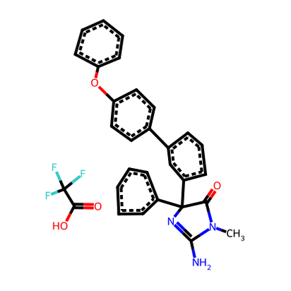 CN1C(=O)C(c2ccccc2)(c2cccc(-c3ccc(Oc4ccccc4)cc3)c2)N=C1N.O=C(O)C(F)(F)F